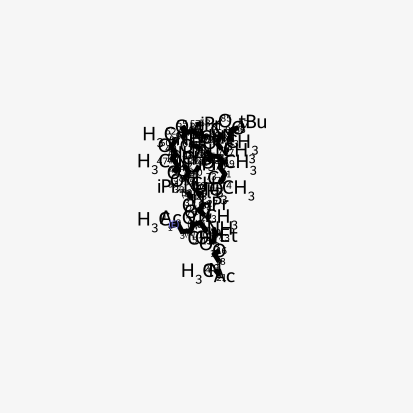 C/C=C/C[C@@H](C)[C@@H](OC(C)=O)[C@@H](C(=O)N[C@@H](CC)C(=O)OCCN(C)C(C)=O)N(C)C(=O)[C@H](C(C)C)N(C)C(=O)[C@H](CC(C)C)N(C)C(=O)[C@H](CC(C)C)N(C)C(=O)[C@@H](C)NC(=O)[C@H](C)NC(=O)[C@H](CC(C)C)N(C)C(=O)[C@@H](NC(=O)[C@H]([C@H](C)CCC(C)(C)O)N(C)C(O)[C@@H](C)N(C)C(=O)OC(C)(C)C)C(C)C